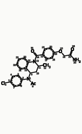 CC(=O)N(c1ccc(Cl)cc1)C1CC(C)N(C(=O)c2ccc(OCC(N)=O)cc2)c2ccccc21